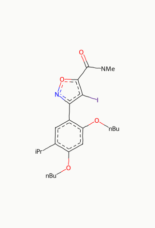 CCCCOc1cc(OCCCC)c(C(C)C)cc1-c1noc(C(=O)NC)c1I